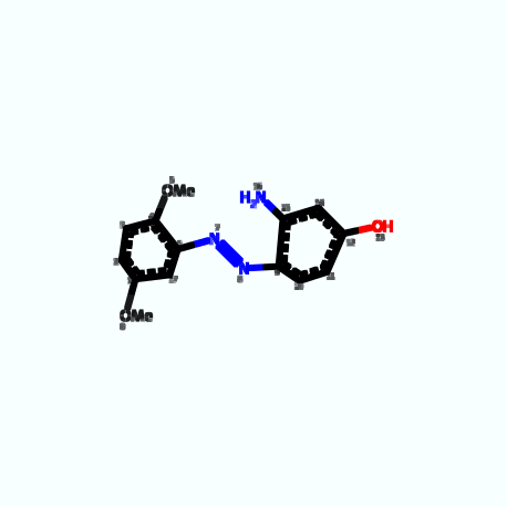 COc1ccc(OC)c(N=Nc2ccc(O)cc2N)c1